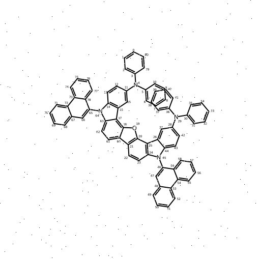 c1ccc(N(c2ccccc2)c2ccc3c(c2)c2c4oc5c(ccc6c5c5cc(N(c7ccccc7)c7ccccc7)ccc5n6-c5cc6ccccc6c6ccccc56)c4ccc2n3-c2cc3ccccc3c3ccccc23)cc1